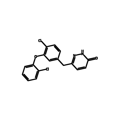 O=c1ccc(Cc2ccc(Cl)c(Oc3ccccc3Cl)c2)n[nH]1